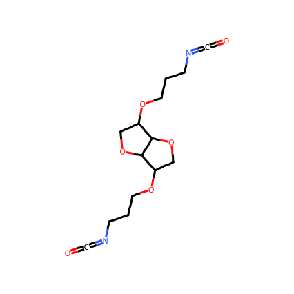 O=C=NCCCOC1COC2C(OCCCN=C=O)COC12